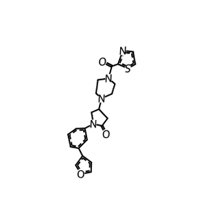 O=C(c1nccs1)N1CCN(C2CC(=O)N(c3cccc(-c4ccoc4)c3)C2)CC1